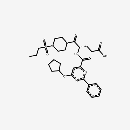 CCCS(=O)(=O)N1CCN(C(=O)[C@H](CCC(=O)O)NC(=O)c2cc(OC3CCCC3)nc(-c3ccccc3)n2)CC1